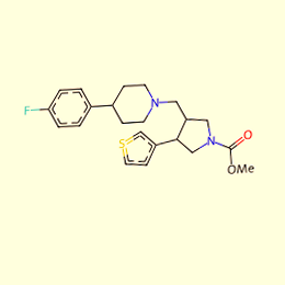 COC(=O)N1CC(CN2CCC(c3ccc(F)cc3)CC2)C(c2ccsc2)C1